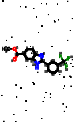 COC(=O)c1ccc2nc(-c3cccc(C(F)(F)F)c3)[nH]c2c1